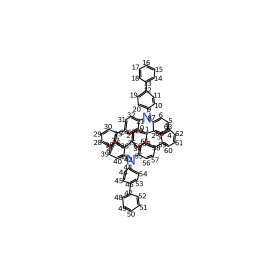 C1=C(c2ccccc2N(c2ccc(-c3ccccc3)cc2)c2ccc(-c3ccccc3)cc2)CCC(c2ccccc2N(c2ccc(-c3ccccc3)cc2)c2ccc(-c3ccccc3)cc2)=C1